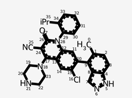 Cc1ccc2[nH]ncc2c1-c1cc2c(cc1Cl)c(N1CCNCC1)c(C#N)c(=O)n2-c1ccccc1C(C)C